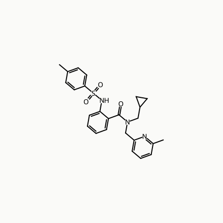 Cc1ccc(S(=O)(=O)Nc2ccccc2C(=O)N(Cc2cccc(C)n2)CC2CC2)cc1